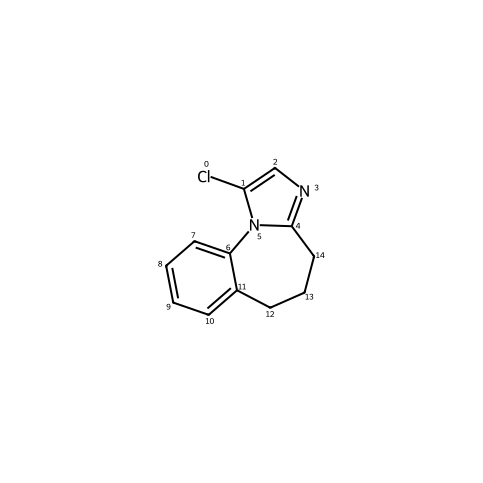 Clc1cnc2n1-c1ccccc1CCC2